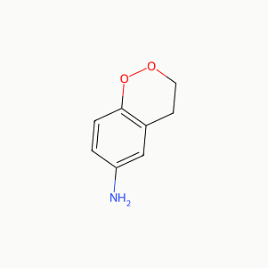 Nc1ccc2c(c1)CCOO2